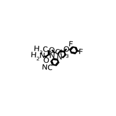 CC1=C(C(N)=O)N(c2cc(C#N)ccc2N2CCC(Oc3ccc(F)cc3F)CC2)C(C)O1